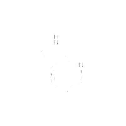 [c]1ccc2c(n1)NC2